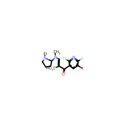 CCN1CCCC1N(C)C=C(C(=O)O)C(=O)c1cc(I)c(F)nc1F